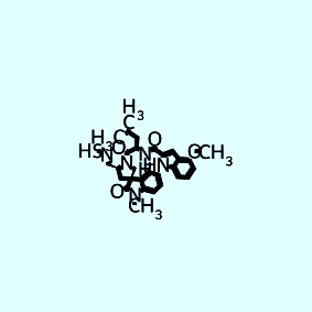 COc1cccc2[nH]c(C(=O)NC(CC(C)C)C(=O)N3C[C@]4(C[C@H]3/C=N/S)C(=O)N(C)c3ccccc34)cc12